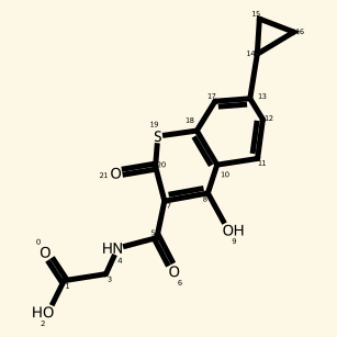 O=C(O)CNC(=O)c1c(O)c2ccc(C3CC3)cc2sc1=O